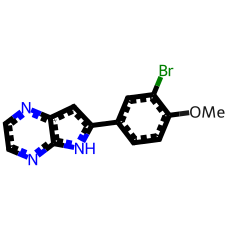 COc1ccc(-c2cc3nccnc3[nH]2)cc1Br